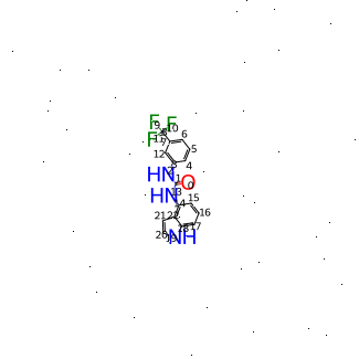 O=C(Nc1cccc(C(F)(F)F)c1)Nc1cccc2[nH]ccc12